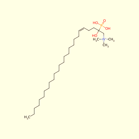 CCCCCCCCCCCCCCCCCCCC/C=C\CCC(O)(C[N+](C)(C)C)P(=O)(O)O